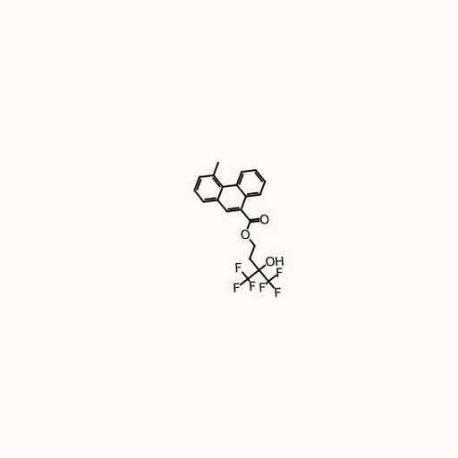 Cc1cccc2cc(C(=O)OCCC(O)(C(F)(F)F)C(F)(F)F)c3ccccc3c12